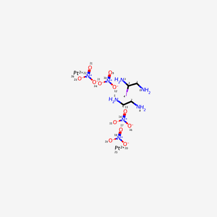 NCC(N)I.NCCN.O=[N+]([O-])[O-].O=[N+]([O-])[O-].O=[N+]([O-])[O-].O=[N+]([O-])[O-].[Pt+2].[Pt+2]